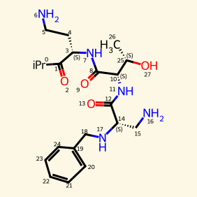 CC(C)C(=O)[C@H](CCN)NC(=O)[C@@H](NC(=O)[C@H](CN)NCc1ccccc1)[C@H](C)O